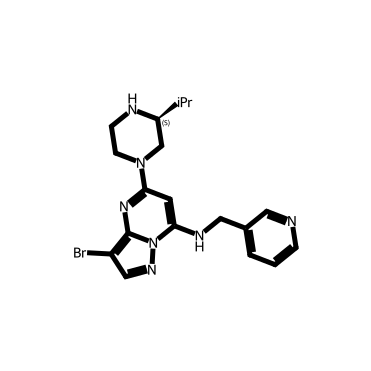 CC(C)[C@H]1CN(c2cc(NCc3cccnc3)n3ncc(Br)c3n2)CCN1